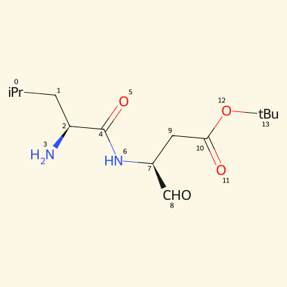 CC(C)C[C@H](N)C(=O)N[C@H](C=O)CC(=O)OC(C)(C)C